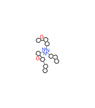 c1ccc2cc(-c3ccc4c(c3)oc3cccc(-c5nc(-c6ccc7c(ccc8ccccc87)c6)nc(-c6ccc7ccc8oc9ccccc9c8c7c6)n5)c34)ccc2c1